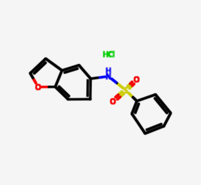 Cl.O=S(=O)(Nc1ccc2occc2c1)c1ccccc1